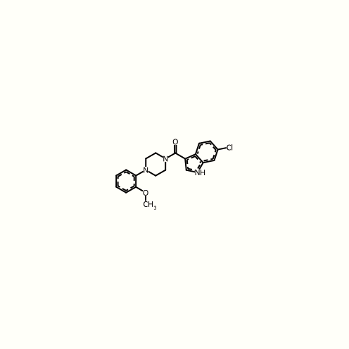 COc1ccccc1N1CCN(C(=O)c2c[nH]c3cc(Cl)ccc23)CC1